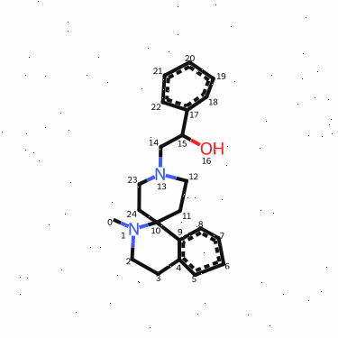 CN1CCc2ccccc2C12CCN(CC(O)c1ccccc1)CC2